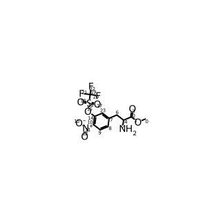 COC(=O)C(N)Cc1ccc([N+](=O)[O-])c(OS(=O)(=O)C(F)(F)F)c1